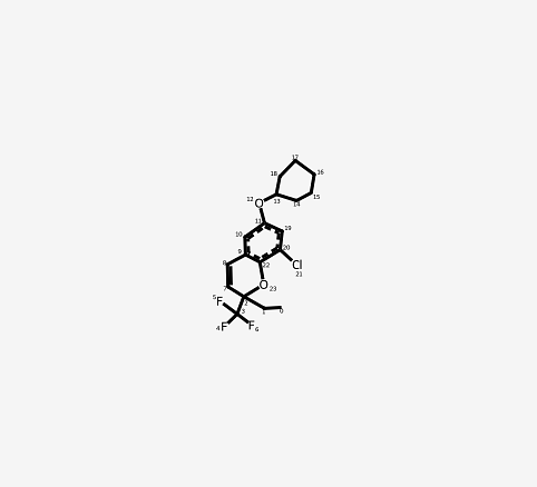 CCC1(C(F)(F)F)C=Cc2cc(OC3CCCCC3)cc(Cl)c2O1